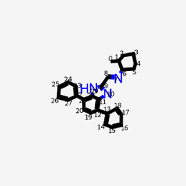 CC1CCCCC1/N=C/c1nc2c(-c3ccccc3)ccc(-c3ccccc3)c2[nH]1